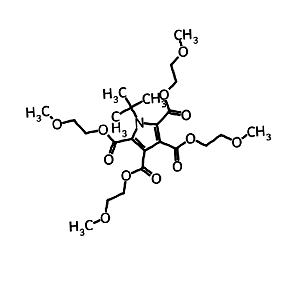 COCCOC(=O)c1c(C(=O)OCCOC)c(C(=O)OCCOC)n(C(C)(C)C)c1C(=O)OCCOC